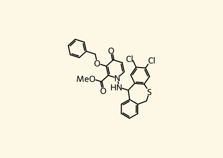 COC(=O)c1c(OCc2ccccc2)c(=O)ccn1NC1c2ccccc2CSc2cc(Cl)c(Cl)cc21